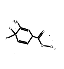 COC(=O)C1C=CC(F)(F)C(N)=C1